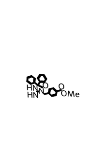 COC(=O)c1ccc(CN2C(=N)NC(c3ccccc3)(c3ccccc3)C2=O)cc1